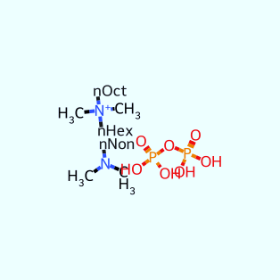 CCCCCCCCCN(C)C.CCCCCCCC[N+](C)(C)CCCCCC.O=P(O)(O)OP(=O)(O)O